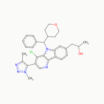 Cc1nnn(C)c1-c1cnc2c3ccc(CC(C)O)cc3n(C(c3ccccc3)C3CCOCC3)c2c1Cl